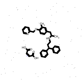 Cc1cc(CC(C)NCCC(c2ccccc2)c2ccccc2)ccc1OCc1ccccn1.O=C(O)/C=C\C(=O)O